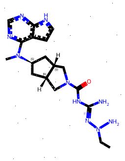 CCN(N)/N=C(\N)NC(=O)N1C[C@H]2C[C@H](N(C)c3ncnc4[nH]ccc34)C[C@H]2C1